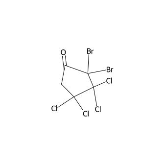 O=C1CC(Cl)(Cl)C(Cl)(Cl)C1(Br)Br